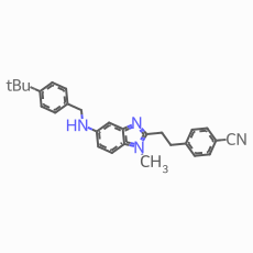 Cn1c(CCc2ccc(C#N)cc2)nc2cc(NCc3ccc(C(C)(C)C)cc3)ccc21